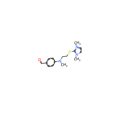 CN(CCSc1n(C)cc[n+]1C)c1ccc(C=O)cc1